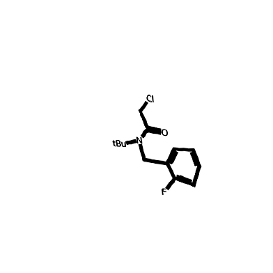 CC(C)(C)N(Cc1ccccc1F)C(=O)CCl